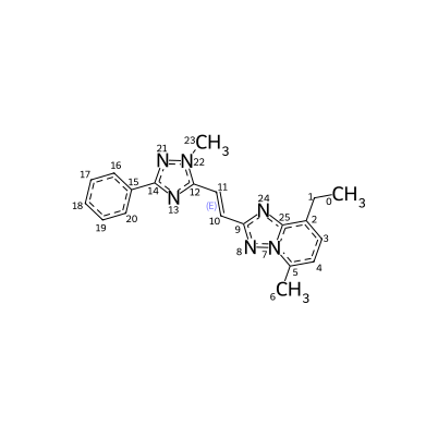 CCc1ccc(C)n2nc(/C=C/c3nc(-c4ccccc4)nn3C)nc12